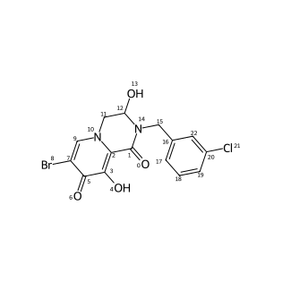 O=C1c2c(O)c(=O)c(Br)cn2CC(O)N1Cc1cccc(Cl)c1